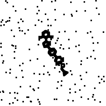 Fc1cccc(F)c1C1=NC(c2ccc(-c3cnc(OCC4CC4)nc3)cc2)CC1